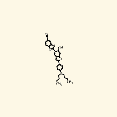 CCCCN(CCCC)c1ccc(-c2cc3cc(-c4nc5cc(C#N)ccc5o4)c(O)cc3o2)cc1